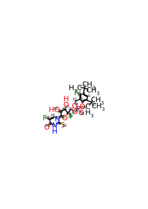 CC(C)(C)c1cc(C(C)(C)C)c2c(c1F)COP(=O)(OC[C@@]1(F)O[C@@H](n3cc(F)c(=O)[nH]c3=S)[C@H](O)[C@@H]1O)O2